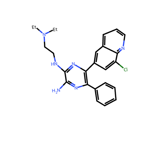 CCN(CC)CCNc1nc(-c2cc(Cl)c3ncccc3c2)c(-c2ccccc2)nc1N